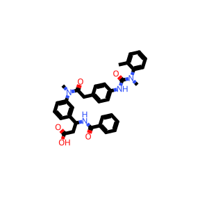 Cc1ccccc1N(C)C(=O)Nc1ccc(CC(=O)N(C)c2cccc(C(CC(=O)O)NC(=O)c3ccccc3)c2)cc1